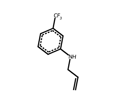 C=CCNc1cccc(C(F)(F)F)c1